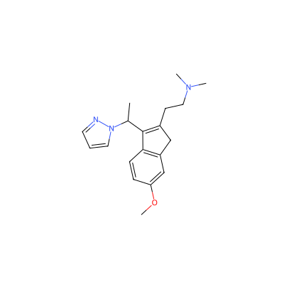 COc1ccc2c(c1)CC(CCN(C)C)=C2C(C)n1cccn1